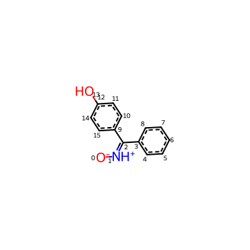 [O-][NH+]=C(c1ccccc1)c1ccc(O)cc1